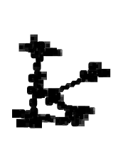 CC(=O)NC1C(OCCOCCNC(=O)CCC(NC(=O)CCC(NC(=O)CCCCCCCCCCC(=O)NC2CC(O)C(CO)C2)C(=O)NCCOCCOC2OC(CO)C(O)C(O)C2NC(C)=O)C(=O)NCCOCCOC2OC(CO)C(O)C(O)C2NC(C)=O)OC(CO)C(O)C1O